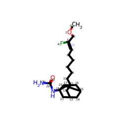 COC/C(F)=C/CCCCCC12CC3CC(C1)CC(NC(N)=O)(C3)C2